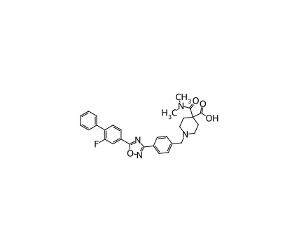 CN(C)C(=O)C1(C(=O)O)CCN(Cc2ccc(-c3noc(-c4ccc(-c5ccccc5)c(F)c4)n3)cc2)CC1